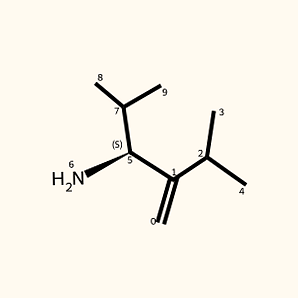 C=C(C(C)C)[C@@H](N)C(C)C